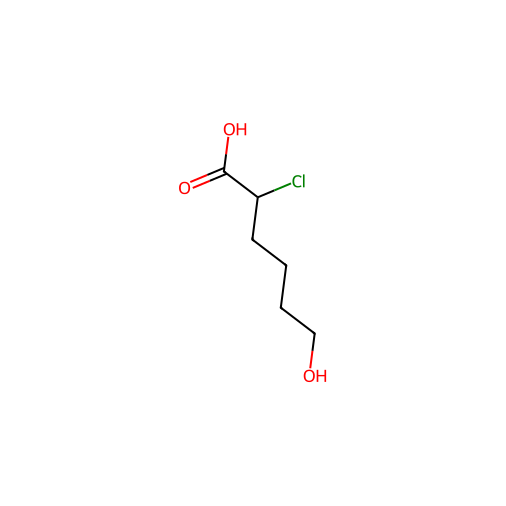 O=C(O)C(Cl)CCCCO